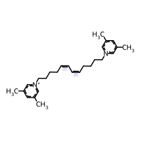 Cc1cc(C)c[n+](CCCC/C=C\C=C/CCCC[n+]2cc(C)cc(C)c2)c1